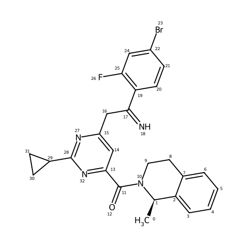 C[C@@H]1c2ccccc2CCN1C(=O)c1cc(CC(=N)c2ccc(Br)cc2F)nc(C2CC2)n1